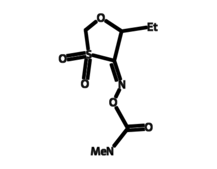 CCC1OCS(=O)(=O)C1=NOC(=O)NC